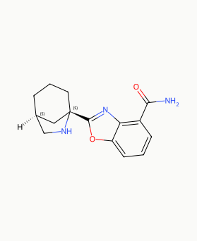 NC(=O)c1cccc2oc([C@@]34CCC[C@H](CN3)C4)nc12